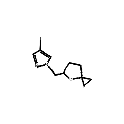 Ic1cnn(CC2CCC3(CC3)O2)c1